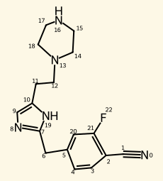 N#Cc1ccc(Cc2ncc(CCN3CCNCC3)[nH]2)cc1F